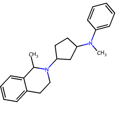 CC1c2ccccc2CCN1C1CCC(N(C)c2ccccc2)C1